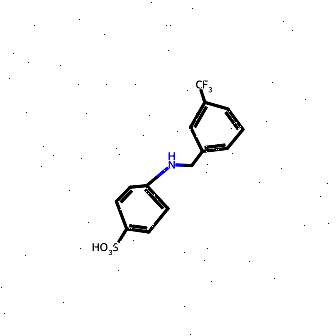 O=S(=O)(O)c1ccc(NCc2cccc(C(F)(F)F)c2)cc1